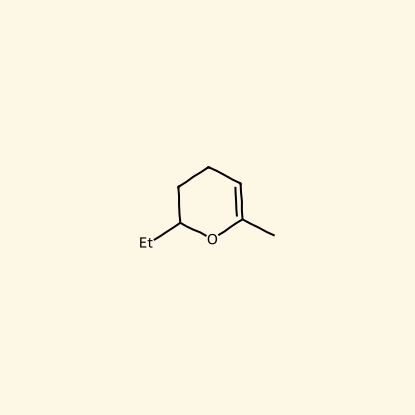 CCC1CCC=C(C)O1